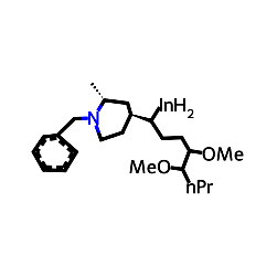 CCCC(OC)C(CC[CH]([InH2])[C@H]1CCN(Cc2ccccc2)[C@H](C)C1)OC